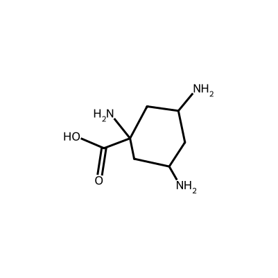 NC1CC(N)CC(N)(C(=O)O)C1